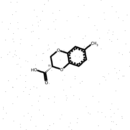 Cc1ccc2c(c1)OC[C@@H](C(=O)O)O2